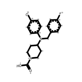 O=C(O)N1CCC(N(Cc2ccc(F)cc2)c2ccc(Cl)cc2)CC1